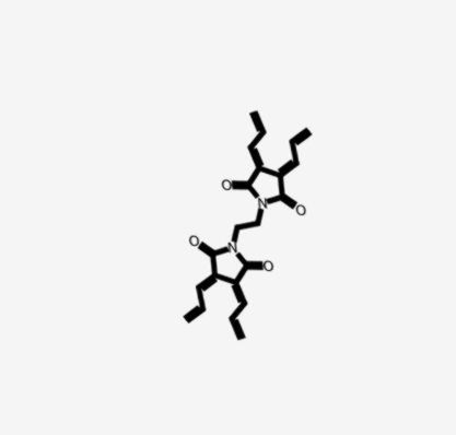 C=C/C=C1/C(=O)N(CCN2C(=O)C(=C/C=C)/C(=C\C=C)C2=O)C(=O)/C1=C/C=C